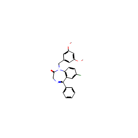 COc1cc(CN2C(=O)CN=C(c3ccccc3)c3cc(Cl)ccc32)cc(OC)c1